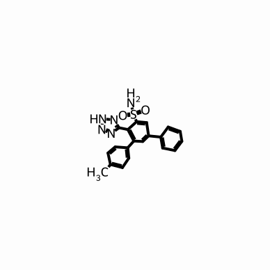 Cc1ccc(-c2cc(-c3ccccc3)cc(S(N)(=O)=O)c2-c2nn[nH]n2)cc1